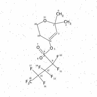 CC1(C)C=C(OS(=O)(=O)C(F)(F)C(F)(F)C(F)(F)C(F)(F)F)CCO1